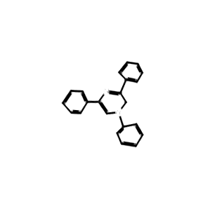 C1=C(c2ccccc2)N=C(c2ccccc2)CN1c1ccccc1